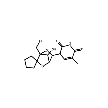 Cc1cn(C2OC3(CO)C(O)C2OC32CCCC2)c(=O)[nH]c1=O